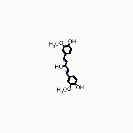 COc1cc(/C=C/C(O)/C=C/c2ccc(O)c(OC)c2)ccc1O